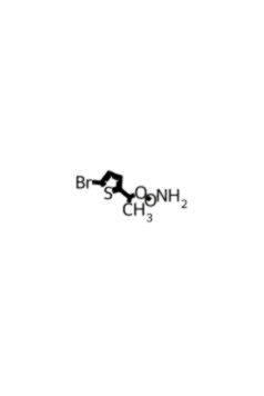 CC(OON)c1ccc(Br)s1